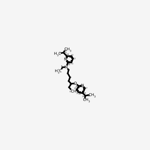 CCC(CCCCN(CC)c1cccc(C(C)C)n1)Oc1ccc(C(C)C)cn1